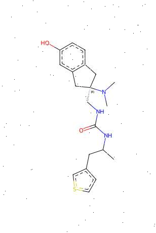 CC(Cc1ccsc1)NC(=O)NC[C@@]1(N(C)C)Cc2ccc(O)cc2C1